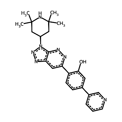 CC1(C)CC(n2nnc3cc(-c4ccc(-c5cccnc5)cc4O)nnc32)CC(C)(C)N1